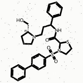 O=C(NC(CCN1CCC[C@@H]1CO)c1ccccc1)C1SCCN1S(=O)(=O)c1ccc(-c2ccccc2)cc1